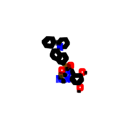 COc1ccc(CN(c2ncns2)S(=O)(=O)c2ccc3c(c2)CCC[C@@H]3N2CCCC[C@H]2c2ccccc2)c(OC)c1